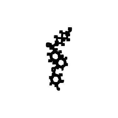 Cc1ccc(Oc2cccc3cc(C(=O)N4CC5(CN(C)C5)C4)ccc23)cc1